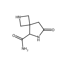 NC(=O)C1NC(=O)CC12CNC2